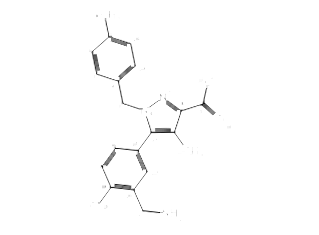 Cc1ccc(Cn2nc(C(=O)Cl)c(C)c2-c2ccc(Cl)c(CN)c2)cc1